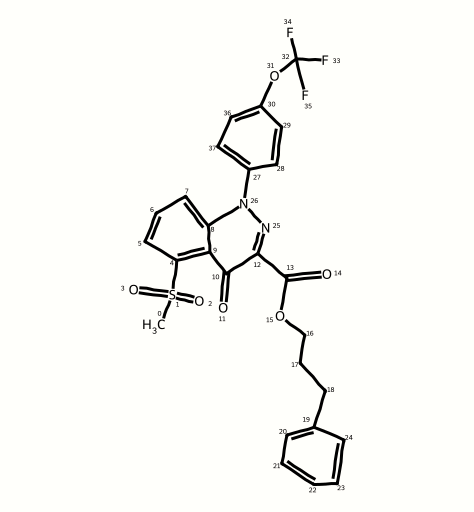 CS(=O)(=O)c1cccc2c1c(=O)c(C(=O)OCCCc1ccccc1)nn2-c1ccc(OC(F)(F)F)cc1